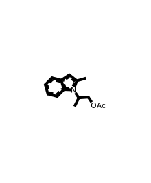 CC(=O)OCC(C)n1c(C)cc2ccccc21